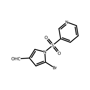 O=Cc1cc(Br)n(S(=O)(=O)c2cccnc2)c1